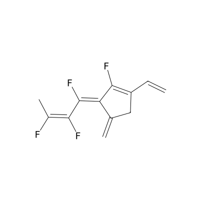 C=CC1=C(F)/C(=C(F)/C(F)=C(\C)F)C(=C)C1